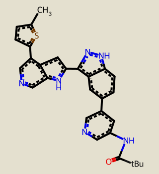 Cc1ccc(-c2cncc3[nH]c(-c4n[nH]c5ccc(-c6cncc(NC(=O)C(C)(C)C)c6)cc45)cc23)s1